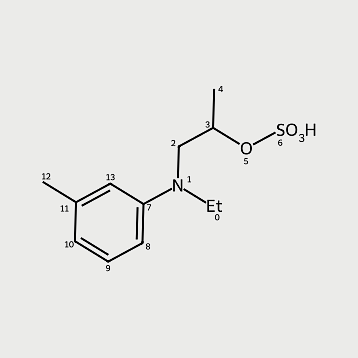 CCN(CC(C)OS(=O)(=O)O)c1cccc(C)c1